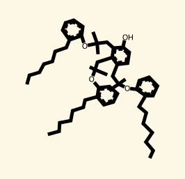 CCCCCCCc1ccccc1OC(C)(C)Cc1ccc(O)c(CC(C)(C)Oc2ccccc2CCCCCCC)c1CC(C)(C)Oc1ccccc1CCCCCCC